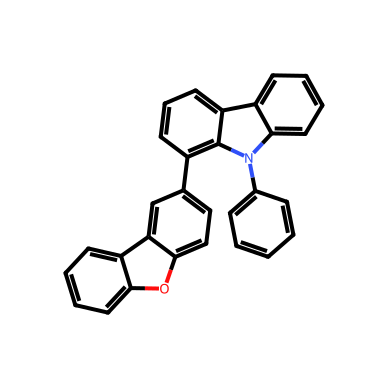 c1ccc(-n2c3ccccc3c3cccc(-c4ccc5oc6ccccc6c5c4)c32)cc1